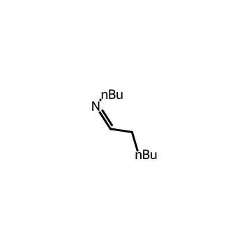 CCCCC/C=N\CCCC